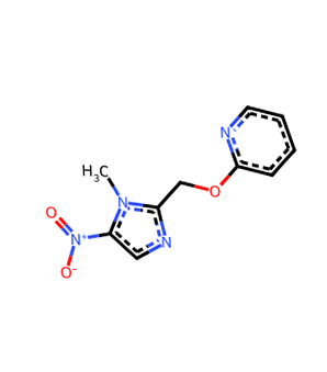 Cn1c([N+](=O)[O-])cnc1COc1ccccn1